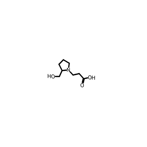 O=C(O)CCN1CCCC1CO